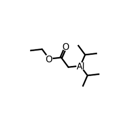 CCOC(=O)[CH2][Al]([CH](C)C)[CH](C)C